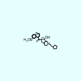 COc1ccc2nccc([C@H](F)CC[C@@H]3CCN(CCC4CCCC4)C[C@@H]3C(=O)O)c2c1